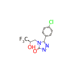 O=C1[N]N=C(c2ccc(Cl)cc2)N1C[C@@H](O)C(F)(F)F